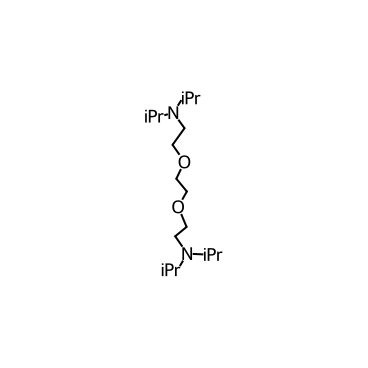 CC(C)N(CCOCCOCCN(C(C)C)C(C)C)C(C)C